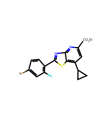 CCOC(=O)c1cc(C2CC2)c2sc(-c3ccc(Br)cc3F)nc2n1